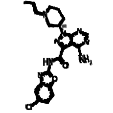 CC=CN1CCC[C@@H](n2nc(C(=O)Nc3nc4cc(Cl)ccc4o3)c3c(N)ncnc32)C1